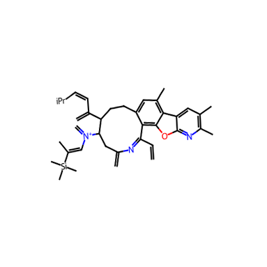 C=C/C1=N/C(=C)CC([N+](=C)/C=C(\C)[Si](C)(C)C)C(C(=C)/C=C\C(C)C)CCc2cc(C)c3c(oc4nc(C)c(C)cc43)c21